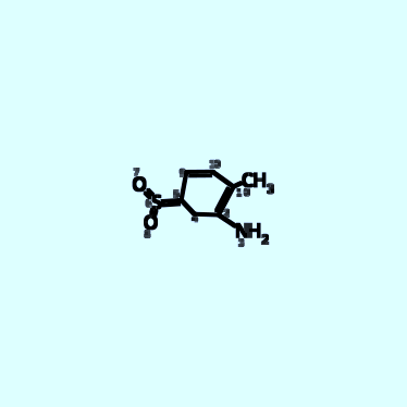 CC1=C(N)CC(=S(=O)=O)C=C1